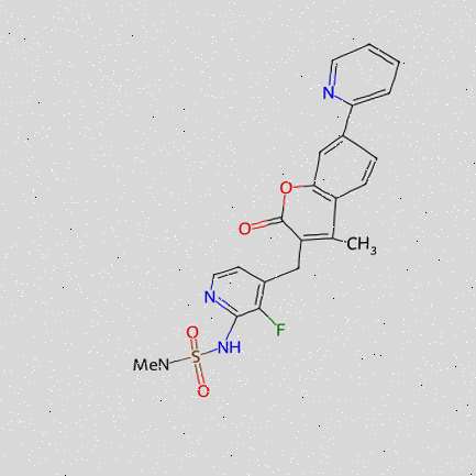 CNS(=O)(=O)Nc1nccc(Cc2c(C)c3ccc(-c4ccccn4)cc3oc2=O)c1F